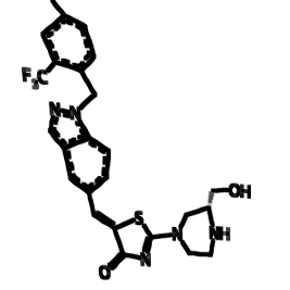 Cc1ccc(Cn2ncc3cc(/C=C4\SC(N5CCN[C@@H](CO)C5)=NC4=O)ccc32)c(C(F)(F)F)c1